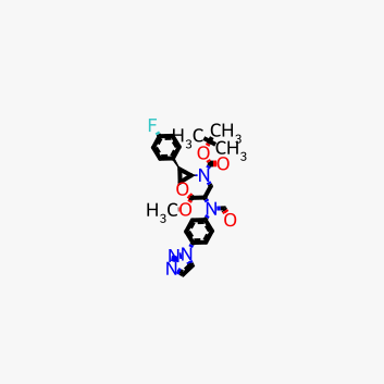 COC(=O)C(CN(C(=O)OC(C)(C)C)[C@@H]1C[C@H]1c1ccc(F)cc1)N(C=O)c1ccc(-n2ccnn2)cc1